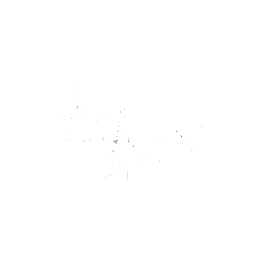 C[C@@]1(C(=O)O)C[C@@H](N2CCC2)CN1S(=O)(=O)c1cccc(Cl)c1